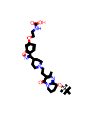 Cc1nc2n(c(=O)c1CCN1CCC(c3noc4cc(OCCNC(=O)O)ccc34)CC1)CCCC2O[Si](C)(C)C(C)(C)C